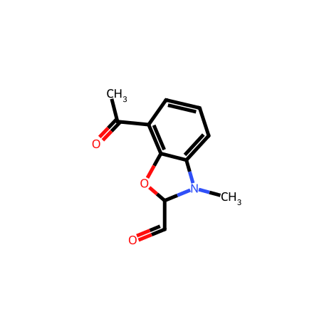 CC(=O)c1cccc2c1OC(C=O)N2C